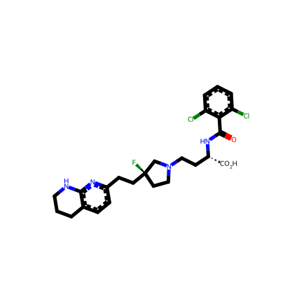 O=C(N[C@@H](CCN1CC[C@](F)(CCc2ccc3c(n2)NCCC3)C1)C(=O)O)c1c(Cl)cccc1Cl